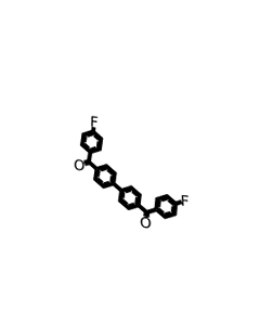 O=C(c1ccc(F)cc1)c1ccc(-c2ccc(C(=O)c3ccc(F)cc3)cc2)cc1